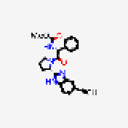 C#Cc1ccc2[nH]c([C@@H]3CCCN3C(=O)[C@H](NC(=O)OC)c3ccccc3)nc2c1